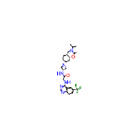 CC(=O)N(C[C@H]1CC[C@H](N2CC(NC(=O)CNc3ncnc4ccc(C(F)(F)F)cc34)C2)CC1)C(C)C